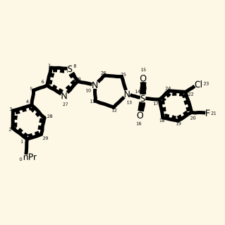 CCCc1ccc(Cc2csc(N3CCN(S(=O)(=O)c4ccc(F)c(Cl)c4)CC3)n2)cc1